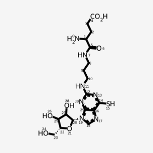 NC(CCC(=O)O)C(=O)NCCCNc1nc(S)c2ncn([C@@H]3O[C@H](CO)C(O)C3O)c2n1